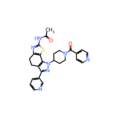 CC(=O)Nc1nc2c(s1)-c1c(c(-c3cccnc3)nn1C1CCN(C(=O)c3ccncc3)CC1)CC2